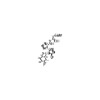 CSCC(O)CNc1nonc1-c1noc(=O)n1[C@H]1Cc2ccc(F)cc21